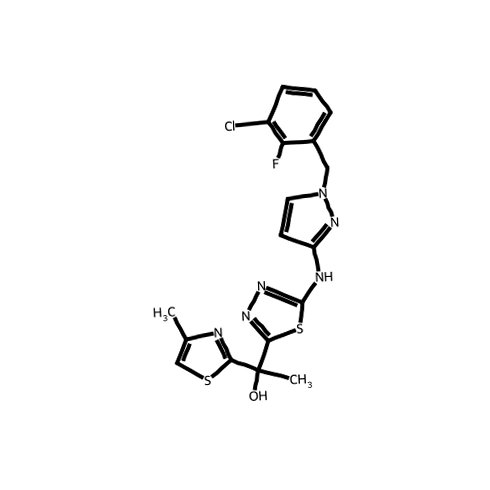 Cc1csc(C(C)(O)c2nnc(Nc3ccn(Cc4cccc(Cl)c4F)n3)s2)n1